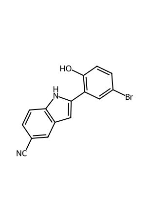 N#Cc1ccc2[nH]c(-c3cc(Br)ccc3O)cc2c1